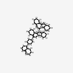 c1cc(-c2ccc(-c3cc4c5ccccc5n(-c5nc6ccccc6c6nc7ccccc7n56)c4c4ccccc34)cc2)c2cccnc2c1